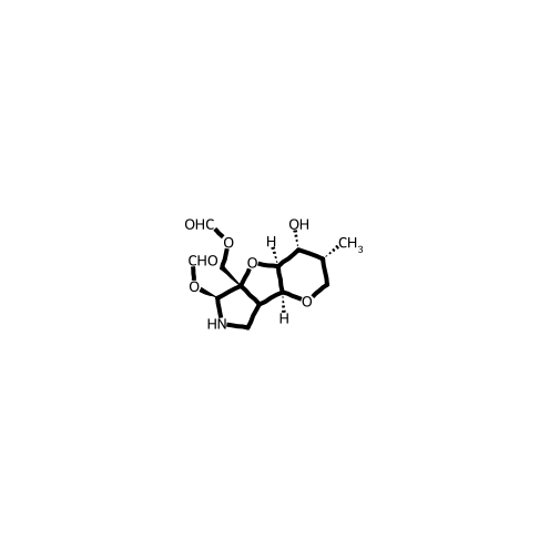 C[C@@H]1CO[C@H]2C3CN[C@@H](OC=O)[C@]3(COC=O)O[C@H]2[C@@H]1O